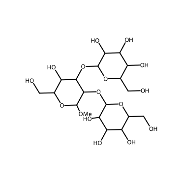 COC1OC(CO)C(O)C(OC2OC(CO)C(O)C(O)C2O)C1OC1OC(CO)C(O)C(O)C1O